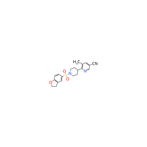 Cc1cc(C#N)cnc1C1CCN(S(=O)(=O)c2ccc3c(c2)CCO3)CC1